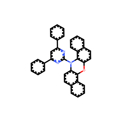 c1ccc(-c2cc(-c3ccccc3)nc(N3c4ccc5ccccc5c4Oc4ccc5ccccc5c43)n2)cc1